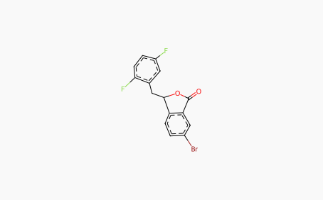 O=C1OC(Cc2cc(F)ccc2F)c2ccc(Br)cc21